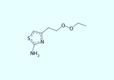 CCOOCCc1csc(N)n1